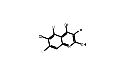 Oc1nc2cc(Cl)c(Cl)c(Cl)c2c(O)c1O